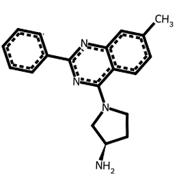 Cc1ccc2c(N3CC[C@@H](N)C3)nc(-c3[c]cccc3)nc2c1